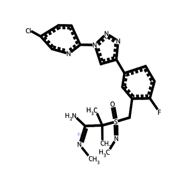 CN=S(=O)(Cc1cc(-c2cn(-c3ccc(Cl)cn3)nn2)ccc1F)C(C)(C)/C(N)=N\C